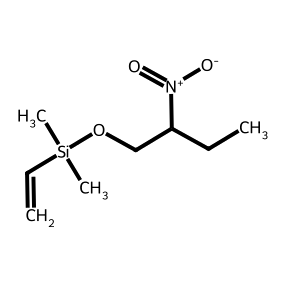 C=C[Si](C)(C)OCC(CC)[N+](=O)[O-]